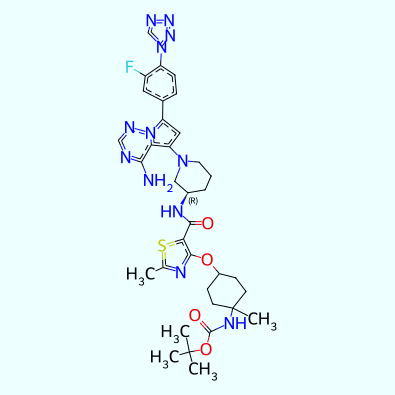 Cc1nc(OC2CCC(C)(NC(=O)OC(C)(C)C)CC2)c(C(=O)N[C@@H]2CCCN(c3cc(-c4ccc(-n5cnnn5)c(F)c4)n4ncnc(N)c34)C2)s1